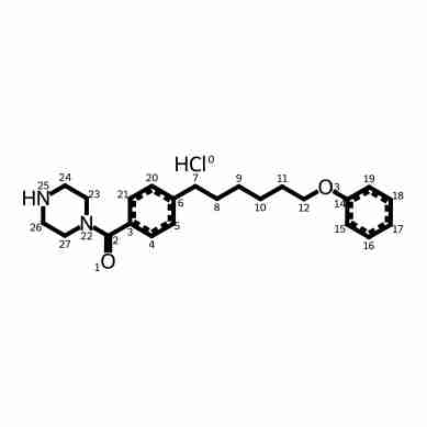 Cl.O=C(c1ccc(CCCCCCOc2ccccc2)cc1)N1CCNCC1